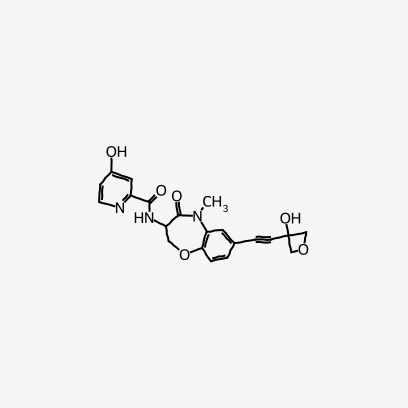 CN1C(=O)C(NC(=O)c2cc(O)ccn2)COc2ccc(C#CC3(O)COC3)cc21